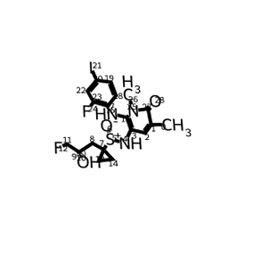 Cc1cc(N[S+]([O-])C2(C[C@H](O)CF)CC2)c(Nc2ccc(I)cc2F)n(C)c1=O